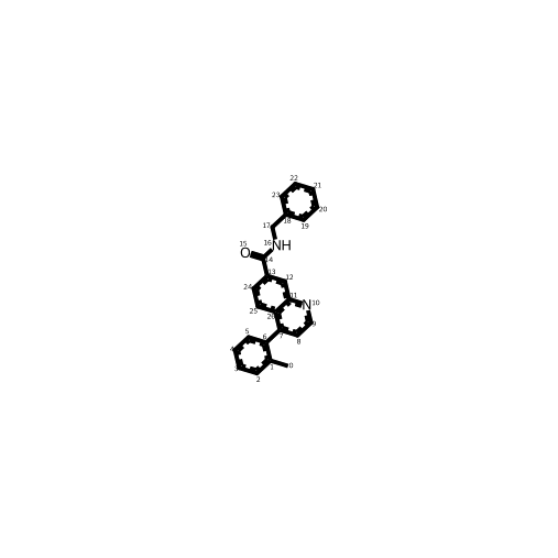 Cc1ccccc1-c1ccnc2cc(C(=O)NCc3ccccc3)ccc12